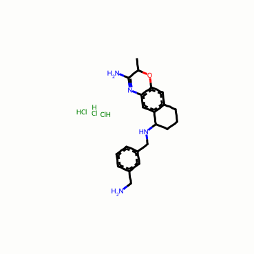 CC1Oc2cc3c(cc2N=C1N)C(NCc1cccc(CN)c1)CCC3.Cl.Cl.Cl